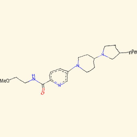 CCCCCC1CCN(C2CCN(c3ccc(C(=O)NCCOC)nc3)CC2)C1